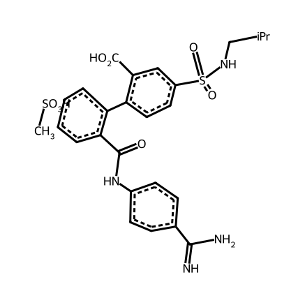 CC(C)CNS(=O)(=O)c1ccc(-c2ccccc2C(=O)Nc2ccc(C(=N)N)cc2)c(C(=O)O)c1.CS(=O)(=O)O